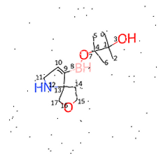 CC(C)(O)C(C)(C)OBC1=CCNC12CCOC2